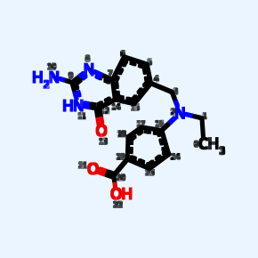 CCN(Cc1ccc2nc(N)[nH]c(=O)c2c1)c1ccc(C(=O)O)cc1